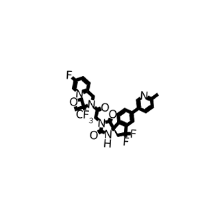 Cc1ccc(-c2ccc3c(c2)C(F)(F)C[C@]32NC(=O)N(CC(=O)N(Cc3ccc(F)cn3)C3(C(F)(F)F)COC3)C2=O)cn1